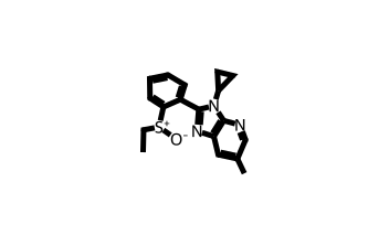 CC[S+]([O-])c1ccccc1-c1nc2cc(C)cnc2n1C1CC1